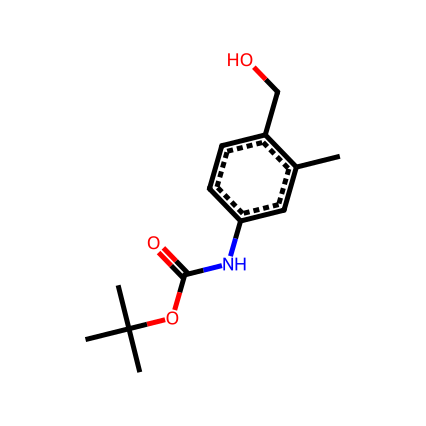 Cc1cc(NC(=O)OC(C)(C)C)ccc1CO